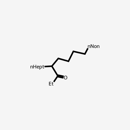 CCCCCCCCCCCCCC(CCCCCCC)C(=O)CC